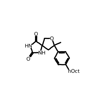 CCCCCCCCc1ccc(C2(C)CC3(CO2)NC(=O)NC3=O)cc1